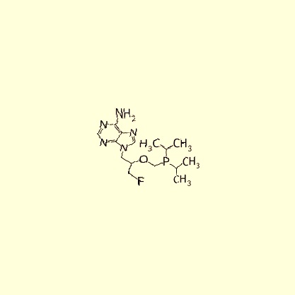 CC(C)P(COC(CF)Cn1cnc2c(N)ncnc21)C(C)C